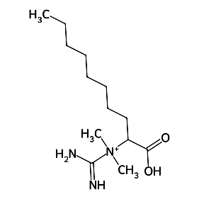 CCCCCCCCC(C(=O)O)[N+](C)(C)C(=N)N